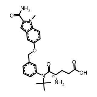 Cn1c(C(N)=O)cc2cc(OCc3cccc(N(C(=O)[C@@H](N)CCC(=O)O)C(C)(C)C)c3)ccc21